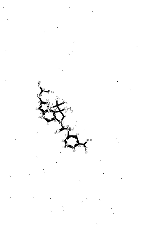 CC1(C(F)(F)F)CN(C(=O)Nc2cnnc(C(F)F)c2)c2cnc3cc(OC(F)F)nn3c21